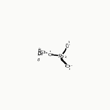 [Bi+3].[O-][Sb]([O-])[O-]